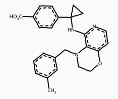 Cc1cccc(CN2CCOc3ccnc(NC4(c5ccc(C(=O)O)cc5)CC4)c32)c1